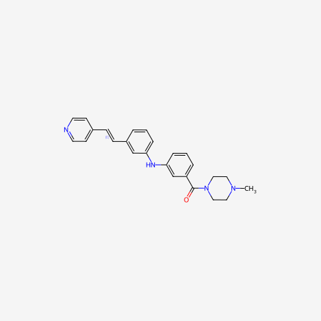 CN1CCN(C(=O)c2cccc(Nc3cccc(/C=C/c4ccncc4)c3)c2)CC1